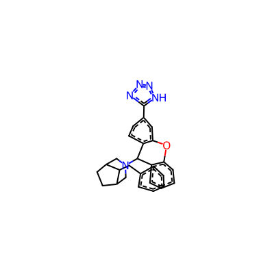 c1ccc(CC2C3CCC2CN(C2c4ccccc4Oc4cc(-c5nnn[nH]5)ccc42)C3)cc1